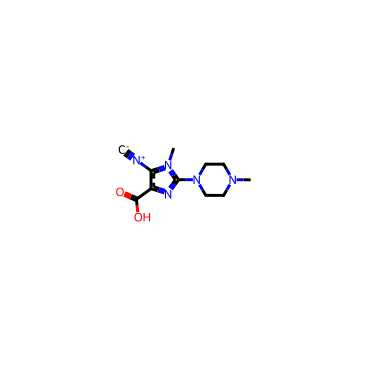 [C-]#[N+]c1c(C(=O)O)nc(N2CCN(C)CC2)n1C